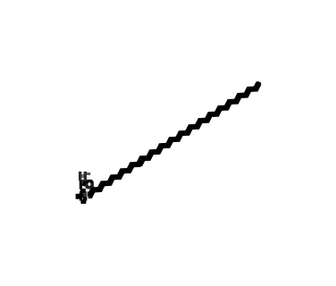 CCCCCCCCCCCCCCCCCCCCCCCCC=CCCCCCCCCC(C[N+](C)(C)C)O[PH-]